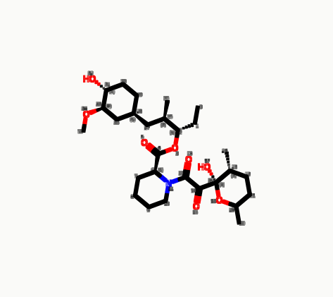 CC[C@H](OC(=O)[C@@H]1CCCCN1C(=O)C(=O)[C@]1(O)OC(C)CC[C@H]1C)[C@H](C)C[C@@H]1CC[C@@H](O)[C@H](OC)C1